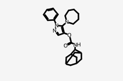 O=C(NC1C2CC3CC(C2)CC1C3)Oc1cnn(-c2ccccc2)c1N1CCCCCC1